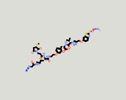 CSC1CC(=O)N(CCC(=O)N[C@@H](CCCCNC(=O)CN=[N+]=[N-])C(=O)NCCOc2ccc(C[C@H](NC(=O)[C@H](C(C)C)n3cc(COc4ccc5nc(SOON)sc5c4)nn3)C(=O)O)cc2)C1=O